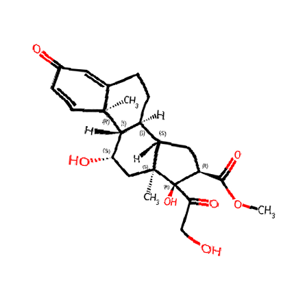 COC(=O)[C@@H]1C[C@H]2[C@@H]3CCC4=CC(=O)C=C[C@]4(C)[C@H]3[C@@H](O)C[C@]2(C)[C@@]1(O)C(=O)CO